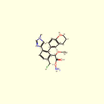 Cn1cnc(-c2ccc(CF)c(C(OC(C)(C)C)C(=O)ON)c2-c2ccc3c(c2)CCCO3)c1